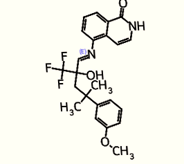 COc1cccc(C(C)(C)CC(O)(/C=N/c2cccc3c(=O)[nH]ccc23)C(F)(F)F)c1